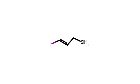 [SiH3]CC=CI